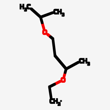 [CH2]COC(C)CCOC(C)C